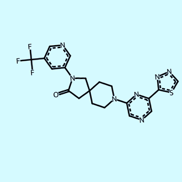 O=C1CC2(CCN(c3cncc(-c4nncs4)n3)CC2)CN1c1cncc(C(F)(F)F)c1